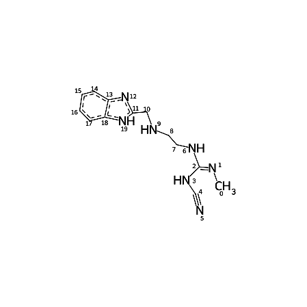 C/N=C(\NC#N)NCCNCc1nc2ccccc2[nH]1